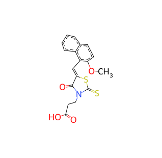 COc1ccc2ccccc2c1C=C1SC(=S)N(CCC(=O)O)C1=O